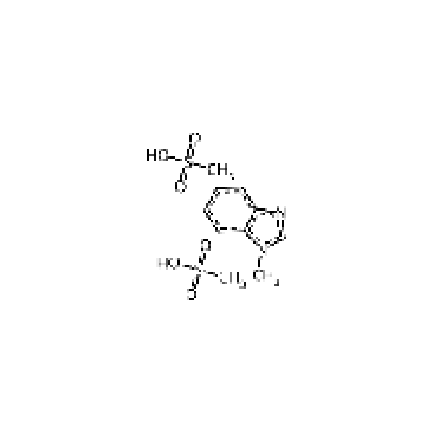 CS(=O)(=O)O.CS(=O)(=O)O.Cn1cnc2ccccc21